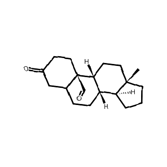 C[C@@]12CCC[C@H]1[C@@H]1CCC3CC(=O)CC[C@]3(C=O)[C@@H]1CC2